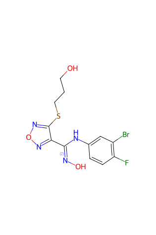 OCCCSc1nonc1/C(=N/O)Nc1ccc(F)c(Br)c1